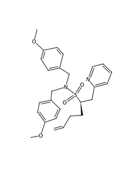 C=CCC[C@H](Cc1ccccn1)S(=O)(=O)N(Cc1ccc(OC)cc1)Cc1ccc(OC)cc1